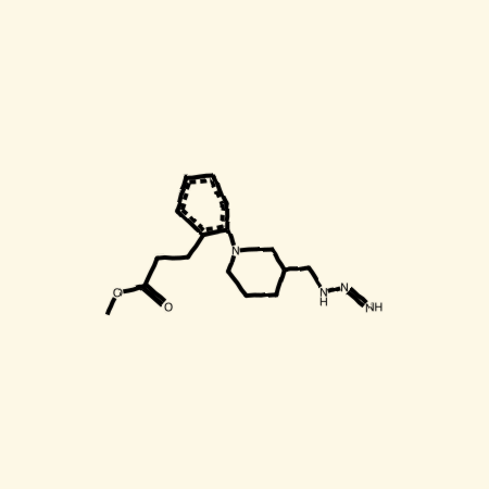 COC(=O)CCc1ccccc1N1CCCC(CNN=N)C1